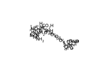 CN(Cc1cnc2nc(N)nc(N)c2n1)c1ccc(C(=O)N[C@@H](CCC(=O)NCCOCCOCCOCC#Cc2cccc3c2C(=O)N(C2CCC(=O)NC2=O)C3=O)C(=O)O)cc1